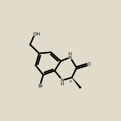 C[C@H]1Nc2c(Br)cc(CO)cc2NC1=O